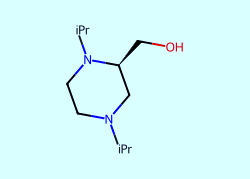 CC(C)N1CCN(C(C)C)[C@@H](CO)C1